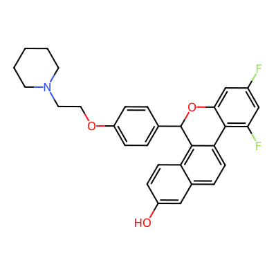 Oc1ccc2c3c(ccc2c1)-c1c(F)cc(F)cc1OC3c1ccc(OCCN2CCCCC2)cc1